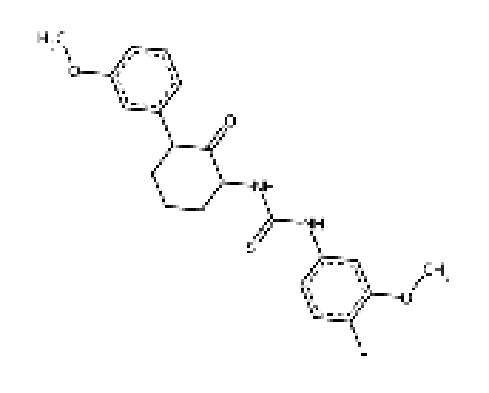 COc1cccc(C2CCCC(NC(=S)Nc3ccc(F)c(OC)c3)C2=O)c1